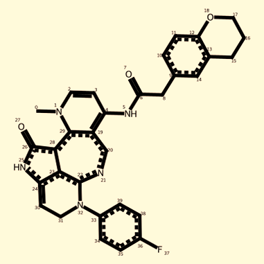 CN1C=CC(NC(=O)Cc2ccc3c(c2)CCCO3)=c2cnc3c4c([nH]c(=O)c-4c21)=CCN3c1ccc(F)cc1